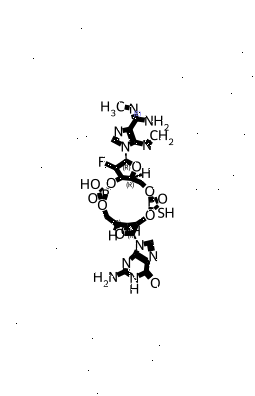 C=Nc1c(/C(N)=N\C)ncn1[C@@H]1O[C@@H]2COP(=O)(S)OC3C(O)[C@@H](COP(=O)(O)OC2C1F)O[C@H]3n1cnc2c(=O)[nH]c(N)nc21